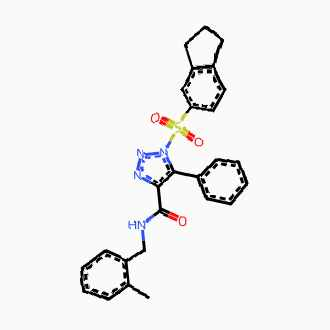 Cc1ccccc1CNC(=O)c1nnn(S(=O)(=O)c2ccc3c(c2)CCC3)c1-c1ccccc1